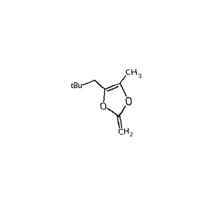 C=C1OC(C)=C(CC(C)(C)C)O1